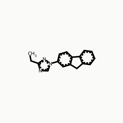 CCc1ncn(-c2ccc3c(c2)Cc2ccccc2-3)n1